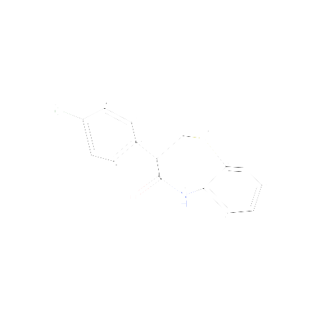 O=C1Nc2ccccc2SCC1c1ccc(Cl)cc1